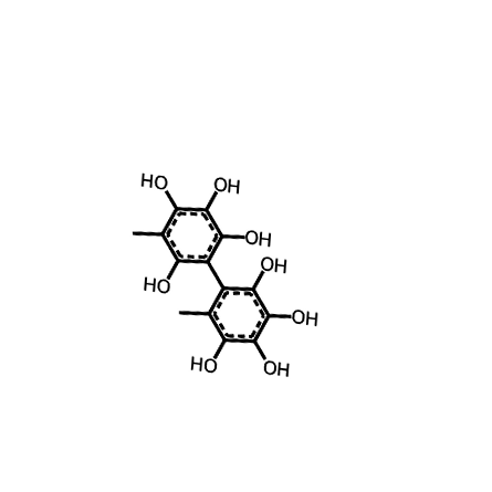 Cc1c(O)c(O)c(O)c(-c2c(C)c(O)c(O)c(O)c2O)c1O